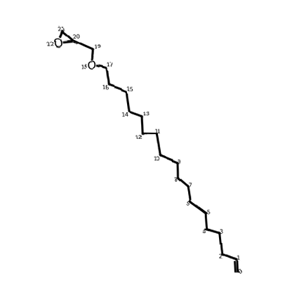 C=CCCCCCCCCCCCCCCCCOCC1CO1